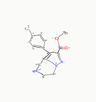 CC(C)(C)OC(=O)c1nn2c(c1-c1ccc(C(F)(F)F)cc1)CNCC2